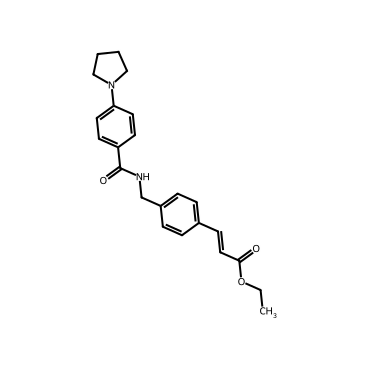 CCOC(=O)/C=C/c1ccc(CNC(=O)c2ccc(N3CCCC3)cc2)cc1